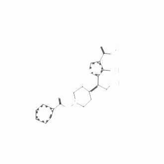 CCC(=C1CCN(OC(=O)c2ccccc2)CC1)c1scc(C(=O)OC)c1C